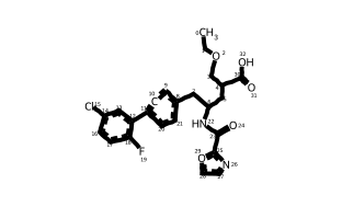 CCOCC(CC(Cc1ccc(-c2cc(Cl)ccc2F)cc1)NC(=O)c1ncco1)C(=O)O